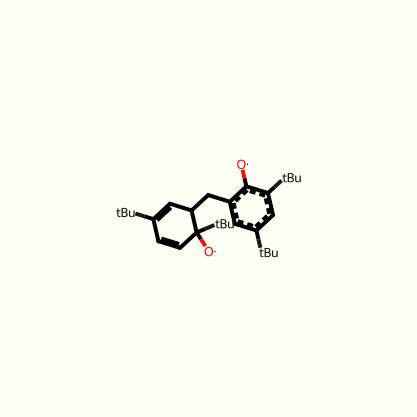 CC(C)(C)C1=CC(Cc2cc(C(C)(C)C)cc(C(C)(C)C)c2[O])C([O])(C(C)(C)C)C=C1